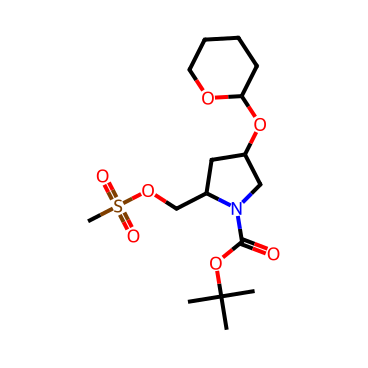 CC(C)(C)OC(=O)N1CC(OC2CCCCO2)CC1COS(C)(=O)=O